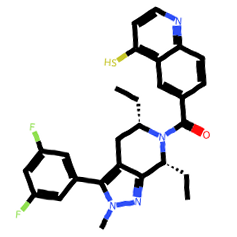 CC[C@H]1Cc2c(nn(C)c2-c2cc(F)cc(F)c2)[C@@H](CC)N1C(=O)c1ccc2nccc(S)c2c1